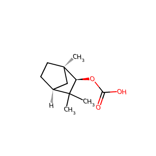 CC1(C)[C@H]2CC[C@](C)(C2)[C@H]1OC(=O)O